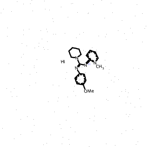 COc1ccc(N=C(/N=c2\ccccn2C)N2CCCCC2)cc1.I